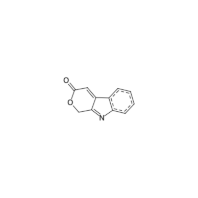 O=C1C=C2C(=Nc3ccccc32)CO1